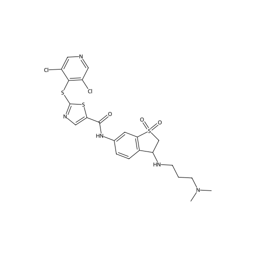 CN(C)CCCNC1CS(=O)(=O)c2cc(NC(=O)c3cnc(Sc4c(Cl)cncc4Cl)s3)ccc21